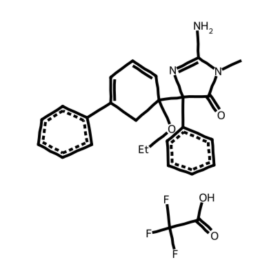 CCOC1(C2(c3ccccc3)N=C(N)N(C)C2=O)C=CC=C(c2ccccc2)C1.O=C(O)C(F)(F)F